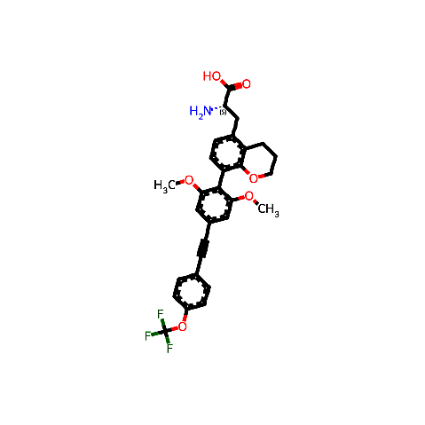 COc1cc(C#Cc2ccc(OC(F)(F)F)cc2)cc(OC)c1-c1ccc(C[C@H](N)C(=O)O)c2c1OCCC2